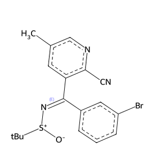 Cc1cnc(C#N)c(/C(=N/[S+]([O-])C(C)(C)C)c2cccc(Br)c2)c1